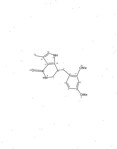 COc1ccc(CC2CNC(=O)c3c(C)c[nH]c32)c(OC)c1